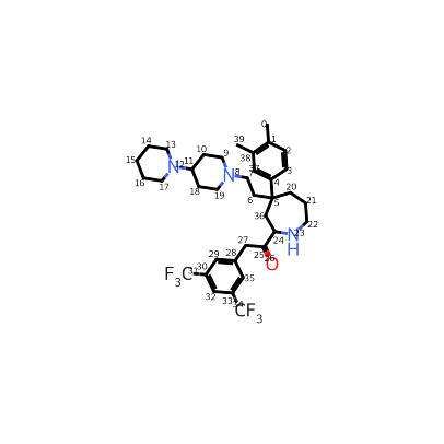 Cc1ccc(C2(CCN3CCC(N4CCCCC4)CC3)CCCNC(C(=O)Cc3cc(C(F)(F)F)cc(C(F)(F)F)c3)C2)cc1C